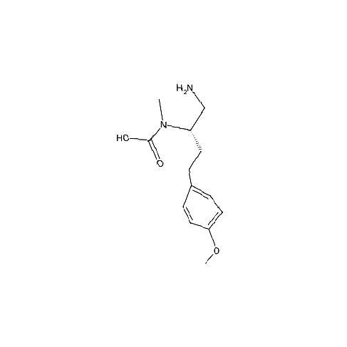 COc1ccc(CC[C@@H](CN)N(C)C(=O)O)cc1